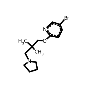 CC(C)(COc1ccc(Br)cn1)CN1CCCC1